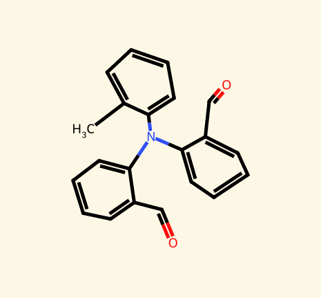 Cc1ccccc1N(c1ccccc1C=O)c1ccccc1C=O